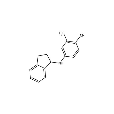 N#Cc1ccc(NC2CCc3ccccc32)cc1C(F)(F)F